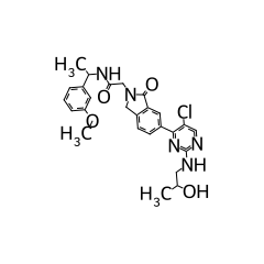 COc1cccc(C(C)NC(=O)CN2Cc3ccc(-c4nc(NCC(C)O)ncc4Cl)cc3C2=O)c1